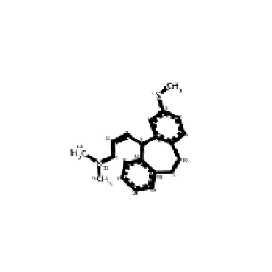 CSc1ccc2c(c1)C(/C=C\CN(C)C)c1ccccc1CC2